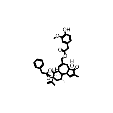 C=C(C)[C@]12C[C@@H](C)[C@@]34CC(Cc5ccccc5)(O[C@@H]1[C@@H]3C=C(COC(=O)Cc1ccc(O)c(OC)c1)C[C@]1(O)C(=O)C(C)=CC41)O2